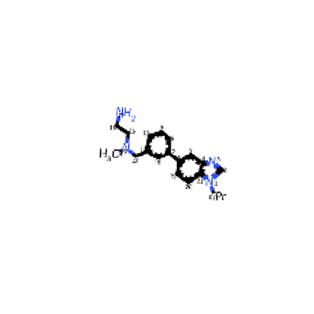 CC(C)n1cnc2cc(-c3cccc(CN(C)CCN)c3)ccc21